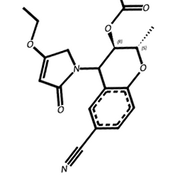 CCOC1=CC(=O)N(C2c3cc(C#N)ccc3O[C@@H](C)[C@@H]2OC(C)=O)C1